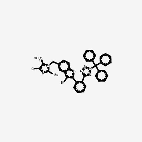 CCCCc1nc(Cl)c(C(=O)O)n1Cc1ccc2oc(-c3ccccc3-c3nnn(C(c4ccccc4)(c4ccccc4)c4ccccc4)n3)c(Br)c2c1